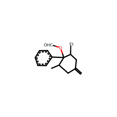 C=C1CC(C)C(OC=O)(c2ccccc2)C(CC)C1